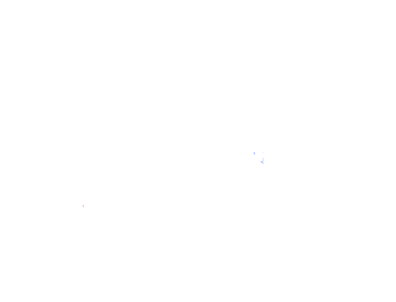 OCCCCCCN1CCCC2CC=CC=C21